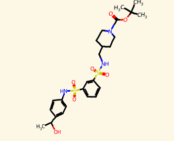 CC(O)c1ccc(NS(=O)(=O)c2cccc(S(=O)(=O)NCC3CCN(C(=O)OC(C)(C)C)CC3)c2)cc1